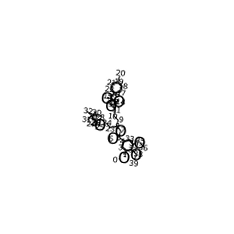 COc1cc(C(=O)OC(CCCOS(=O)(=O)c2ccc(C)cc2)CCO[Si](C)(C)C(C)(C)C)cc(OC)c1OC